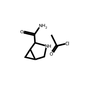 CC(=O)Cl.NC(=O)C1NCC2CC21